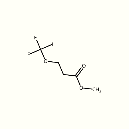 COC(=O)CCOC(F)(F)I